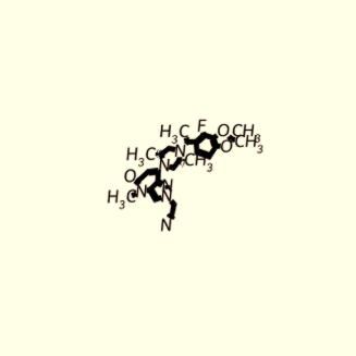 CC(c1ccc2c(c1F)OC(C)(C)O2)N1C[C@H](C)N(c2cc(=O)n(C)c3cn(CC#N)nc23)C[C@H]1C